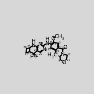 COc1cc(C(=O)N2CCOCC2)c(C)cc1Nc1ncc2c(n1)NC1CCC1C2(F)F